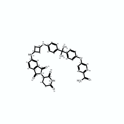 CC(=O)c1ncc(Oc2ccc(C(C)(C)c3ccc(OC4CC(Nc5ccc6c(c5)C(=O)N(C5CCC(=O)NC5=O)C6=O)C4)cc3)cc2)cn1